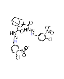 O=C(N/N=C/c1ccc(Cl)c([N+](=O)[O-])c1)C12CC3CC(C1)CC(C(=O)N/N=C/c1ccc(Cl)c([N+](=O)[O-])c1)(C3)C2